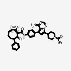 COC1=C(\C(=O)Nc2ccc(-c3cc(C4CCN(C(=O)C(C)C)CC4)n4ncnc(N)c34)cc2)C(=O)C(c2ccccc2)CC/C=C\1